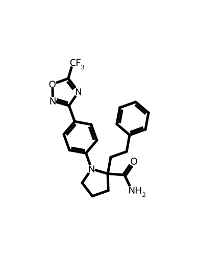 NC(=O)C1(CCc2ccccc2)CCCN1c1ccc(-c2noc(C(F)(F)F)n2)cc1